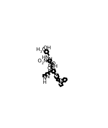 CC(C)c1ccccc1C1CCCN1C1CC2(CCN(c3ccc(C(=O)NS(=O)(=O)c4cnc(NCC5CCC(C)(O)CC5)c([N+](=O)[O-])c4)c(Oc4cnc5[nH]ccc5c4)c3)CC2)C1